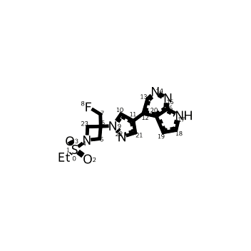 CCS(=O)(=O)N1CC(CF)(n2cc(-c3cnnc4[nH]ccc34)cn2)C1